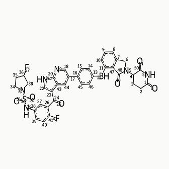 O=C1CCC(N2Cc3cccc(Bc4ccc(-c5cnc6[nH]cc(C(=O)c7cc(NS(=O)(=O)N8CC[C@@H](F)C8)ccc7F)c6c5)cc4)c3C2=O)C(=O)N1